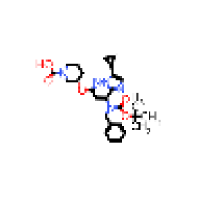 CC(C)(C)OC(=O)N(Cc1ccccc1)c1cc(O[C@@H]2CCCN(C(=O)O)C2)nn2c(C3CC3)cnc12